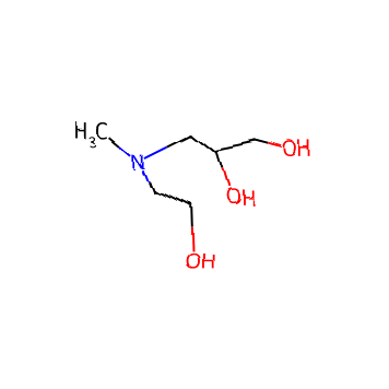 CN(CCO)CC(O)CO